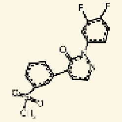 CS(=O)(=O)c1cccc(-c2ccnn(-c3ccc(F)c(F)c3)c2=O)c1